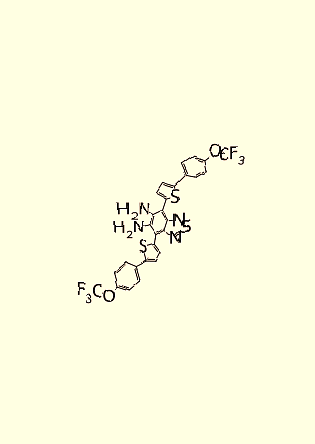 Nc1c(N)c(-c2ccc(-c3ccc(OC(F)(F)F)cc3)s2)c2c(c1-c1ccc(-c3ccc(OC(F)(F)F)cc3)s1)N=S=N2